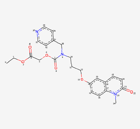 CCOC(=O)COC(=O)N(CCCOc1ccc2c(ccc(=O)n2C)c1)Cc1ccncc1